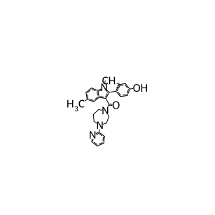 Cc1ccc2c(c1)c(C(=O)N1CCCN(c3ccccn3)CC1)c(-c1ccc(O)cc1)n2C